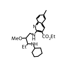 CCOC(=O)c1cc2cc(C)ccc2nc1NCC(OC)C(CC)NC1CCCCC1